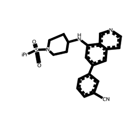 CC(C)S(=O)(=O)N1CCC(Nc2cc(-c3cccc(C#N)c3)cc3ccncc23)CC1